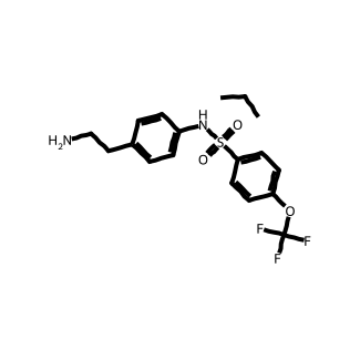 CCC.NCCc1ccc(NS(=O)(=O)c2ccc(OC(F)(F)F)cc2)cc1